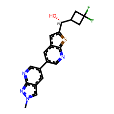 Cn1cc2cc(-c3cnc4sc([C@H](O)C5CC(F)(F)C5)cc4c3)cnc2n1